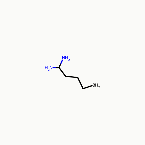 BCCCC(N)N